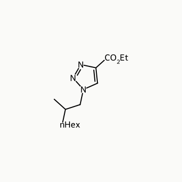 CCCCCCC(C)Cn1cc(C(=O)OCC)nn1